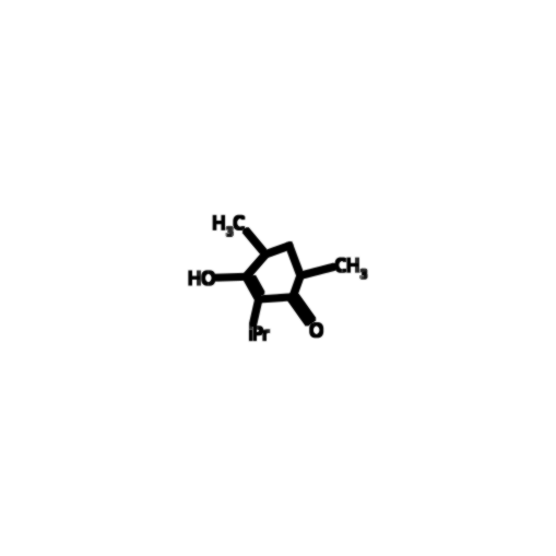 CC(C)C1=C(O)C(C)CC(C)C1=O